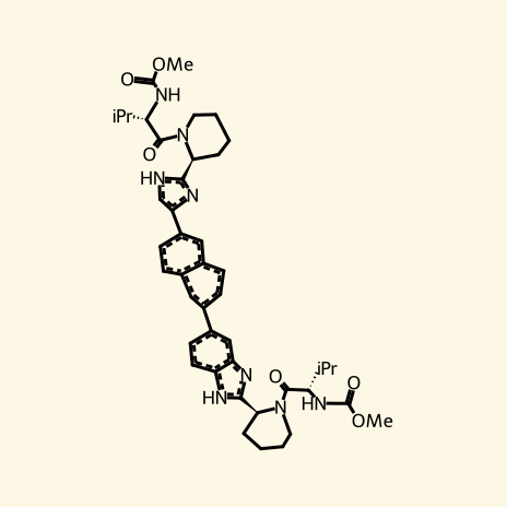 COC(=O)N[C@H](C(=O)N1CCCC[C@H]1c1nc(-c2ccc3cc(-c4ccc5[nH]c([C@@H]6CCCCN6C(=O)[C@@H](NC(=O)OC)C(C)C)nc5c4)ccc3c2)c[nH]1)C(C)C